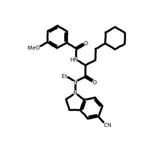 CCN(C(=O)C(CCC1CCCCC1)NC(=O)c1cccc(OC)c1)N1CCc2cc(C#N)ccc21